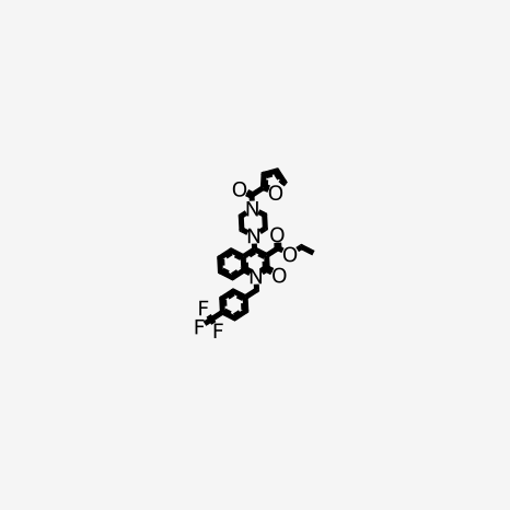 CCOC(=O)c1c(N2CCN(C(=O)c3ccco3)CC2)c2ccccc2n(Cc2ccc(C(F)(F)F)cc2)c1=O